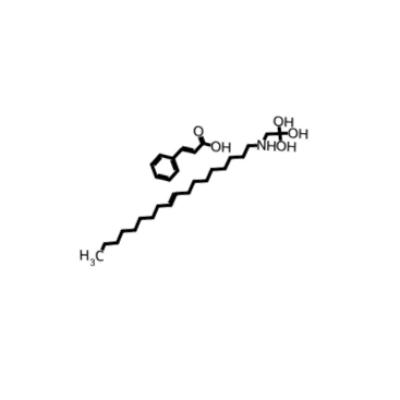 CCCCCCCCC=CCCCCCCCCNCC(O)(O)O.O=C(O)C=Cc1ccccc1